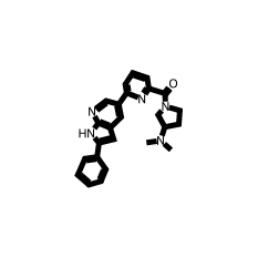 CN(C)C1CCN(C(=O)c2cccc(-c3cnc4[nH]c(-c5ccccc5)cc4c3)n2)C1